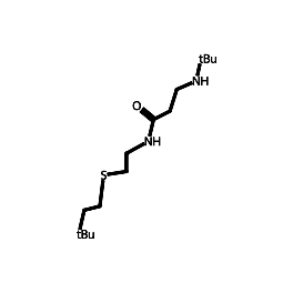 CC(C)(C)CCSCCNC(=O)CCNC(C)(C)C